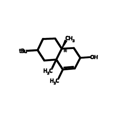 CC1=CC(O)C[C@@]2(C)CCC(C(C)(C)C)CC12C